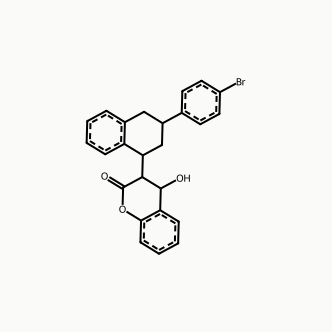 O=C1Oc2ccccc2C(O)C1C1CC(c2ccc(Br)cc2)Cc2ccccc21